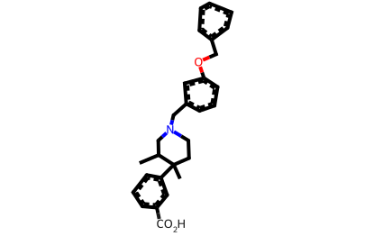 CC1CN(Cc2cccc(OCc3ccccc3)c2)CCC1(C)c1cccc(C(=O)O)c1